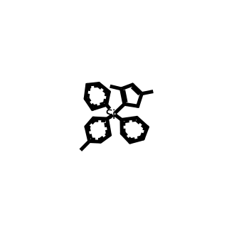 CC1=CC(C)=C([Si](c2ccccc2)(c2ccccc2)c2ccc(C)cc2)C1